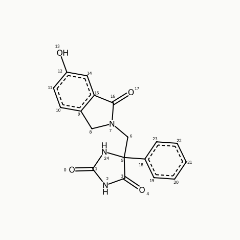 O=C1NC(=O)C(CN2Cc3ccc(O)cc3C2=O)(c2ccccc2)N1